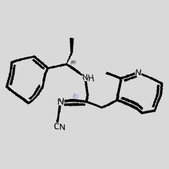 Cc1ncccc1C/C(=N\C#N)N[C@H](C)c1ccccc1